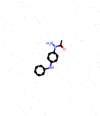 CC(=O)N(N)c1ccc(Nc2ccccc2)cc1